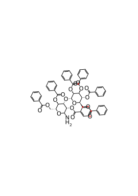 NC1O[C@H](COC(=O)c2ccccc2)[C@@H](OC(=O)c2ccccc2)[C@H](O[C@H]2O[C@H](COC(=O)c3ccccc3)[C@@H](OC(=O)c3ccccc3)[C@H](OC(=O)c3ccccc3)[C@@H]2OC(=O)c2ccccc2)[C@@H]1OC(=O)c1ccccc1